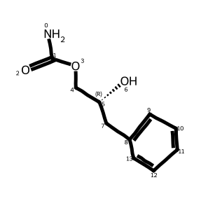 NC(=O)OC[C@H](O)Cc1ccccc1